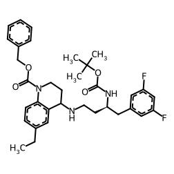 CCc1ccc2c(c1)C(NCC[C@H](Cc1cc(F)cc(F)c1)NC(=O)OC(C)(C)C)CCN2C(=O)OCc1ccccc1